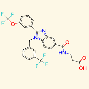 O=C(O)CCNC(=O)c1ccc2c(c1)nc(-c1cccc(OC(F)(F)F)c1)n2Cc1cccc(C(F)(F)F)c1